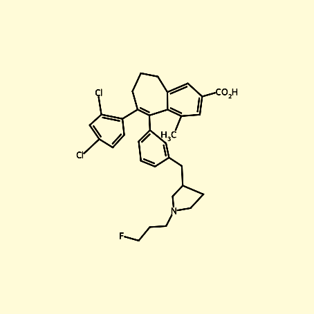 Cc1cc(C(=O)O)cc2c1C(c1cccc(CC3CCN(CCCF)C3)c1)=C(c1ccc(Cl)cc1Cl)CCC2